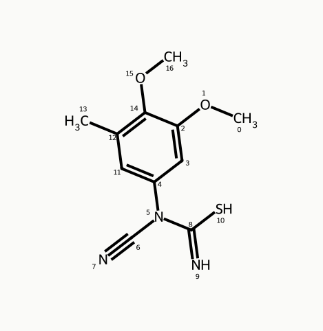 COc1cc(N(C#N)C(=N)S)cc(C)c1OC